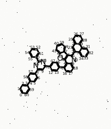 c1ccc(-c2ccc(-c3cc(-c4ccc(-c5cccc6nc(-c7cc8ccccc8c8ccccc78)c7c8ccccc8oc7c56)cc4)nc(-c4ccccc4)n3)cc2)cc1